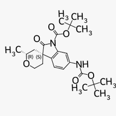 C[C@@H]1C[C@]2(CCO1)C(=O)N(C(=O)OC(C)(C)C)c1cc(NC(=O)OC(C)(C)C)ccc12